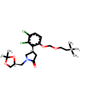 CC1(C)OC[C@H](CN2C[C@@H](c3c(OCOCC[Si](C)(C)C)ccc(Cl)c3Cl)CC2=O)O1